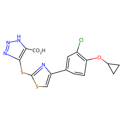 O=C(O)c1[nH]nnc1Sc1nc(-c2ccc(OC3CC3)c(Cl)c2)cs1